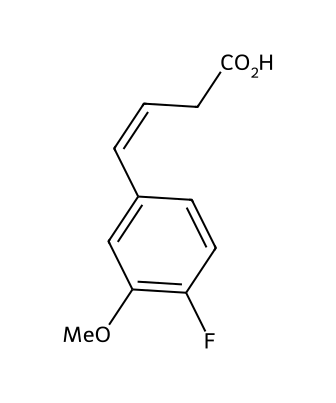 COc1cc(/C=C\CC(=O)O)ccc1F